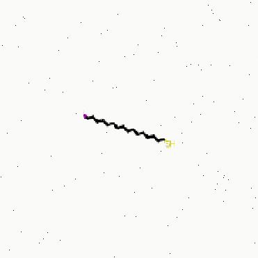 SCCCCCCCCCCCCCCCCI